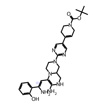 CC(C)(C)OC(=O)N1CC=C(c2cnc(N3CCN4C(/C=C(\N)c5ccccc5O)=C(N)NCC4C3)nc2)CC1